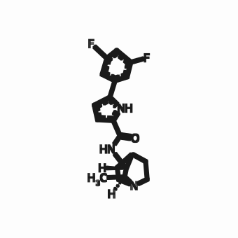 C[C@H]1[C@H](NC(=O)c2ccc(-c3cc(F)cc(F)c3)[nH]2)C2CCN1CC2